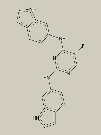 Fc1cnc(Nc2ccc3cc[nH]c3c2)nc1Nc1ccc2cc[nH]c2c1